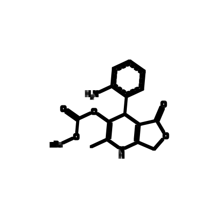 CCCCOC(=O)OC1=C(C)NC2=C(C(=O)OC2)C1c1ccccc1N